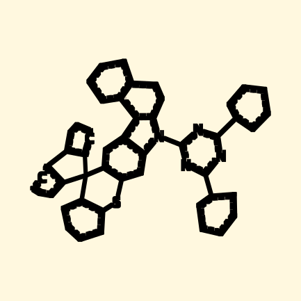 c1ccc(-c2nc(-c3ccccc3)nc(-n3c4cc5c(cc4c4c6ccccc6ccc43)C3(c4ccccc4S5)c4ccccc4-c4ccccc43)n2)cc1